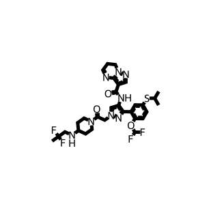 CC(C)Sc1ccc(OC(F)F)c(-c2nn(CC(=O)N3CCC(NCC(C)(F)F)CC3)cc2NC(=O)c2cnn3c2N=CCC3)c1